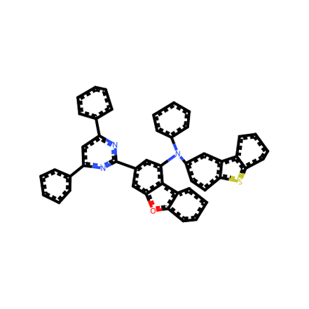 c1ccc(-c2cc(-c3ccccc3)nc(-c3cc(N(c4ccccc4)c4ccc5sc6ccccc6c5c4)c4c(c3)oc3ccccc34)n2)cc1